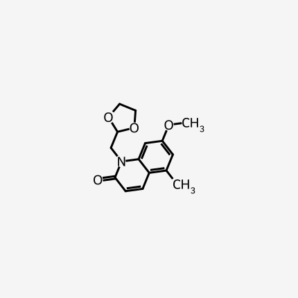 COc1cc(C)c2ccc(=O)n(CC3OCCO3)c2c1